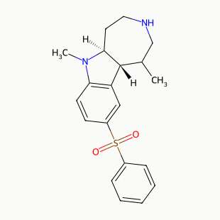 CC1CNCC[C@H]2[C@H]1c1cc(S(=O)(=O)c3ccccc3)ccc1N2C